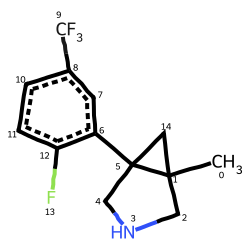 CC12CNCC1(c1cc(C(F)(F)F)ccc1F)C2